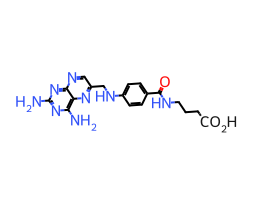 Nc1nc(N)c2nc(CNc3ccc(C(=O)NCCCC(=O)O)cc3)cnc2n1